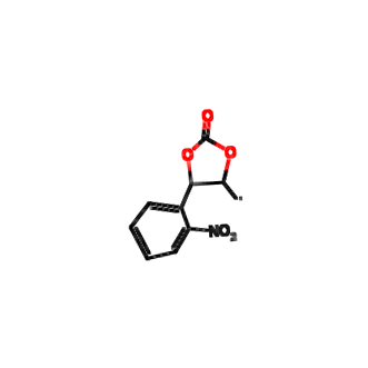 [CH2]C1OC(=O)OC1c1ccccc1[N+](=O)[O-]